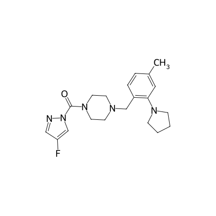 Cc1ccc(CN2CCN(C(=O)n3cc(F)cn3)CC2)c(N2CCCC2)c1